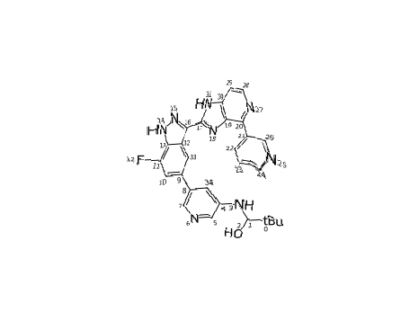 CC(C)(C)C(O)Nc1cncc(-c2cc(F)c3[nH]nc(-c4nc5c(-c6cccnc6)nccc5[nH]4)c3c2)c1